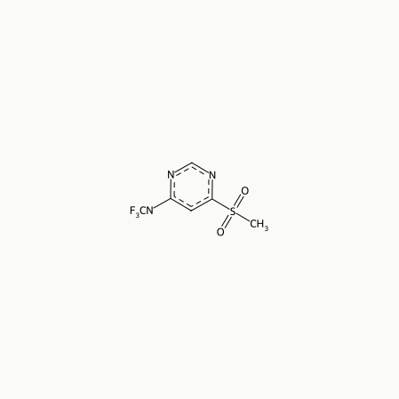 CS(=O)(=O)c1cc(NC(F)(F)F)ncn1